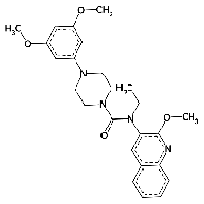 CCN(C(=O)N1CCN(c2cc(OC)cc(OC)c2)CC1)c1cc2ccccc2nc1OC